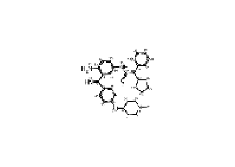 CN1CCC(Oc2ccc(C(=N)c3cc(NC(=O)C(c4ccccn4)C4CCCC4)ccc3N)cc2)CC1